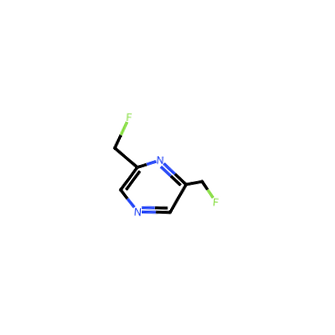 FCc1cncc(CF)n1